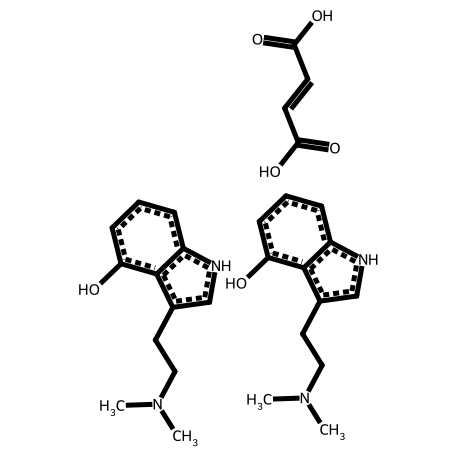 CN(C)CCc1c[nH]c2cccc(O)c12.CN(C)CCc1c[nH]c2cccc(O)c12.O=C(O)/C=C/C(=O)O